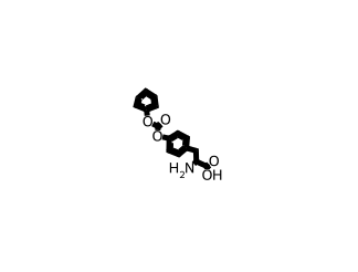 NC(Cc1ccc(OC(=O)Oc2ccccc2)cc1)C(=O)O